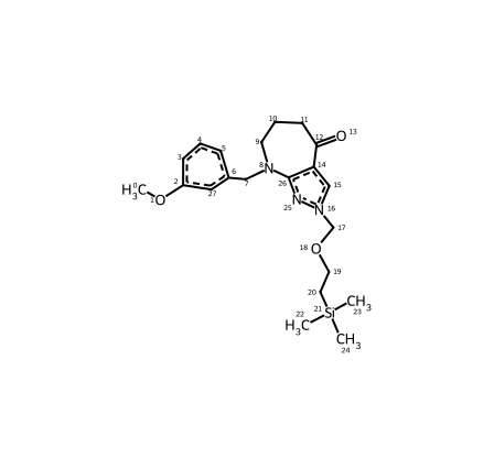 COc1cccc(CN2CCCC(=O)c3cn(COCC[Si](C)(C)C)nc32)c1